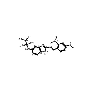 COc1ccc(CSc2nc3cc(OC(F)(F)C(F)F)ccc3[nH]2)c(N(C)C)c1